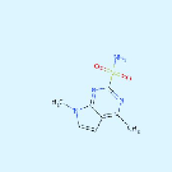 Cc1nc(S(N)(=O)=O)nc2c1ccn2C